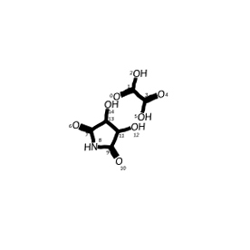 O=C(O)C(=O)O.O=C1NC(=O)C(O)C1O